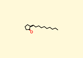 CCCCCCCCCC=C1CCCC1=O